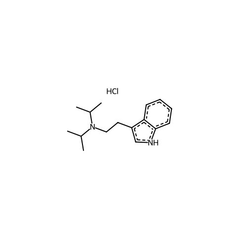 CC(C)N(CCc1c[nH]c2ccccc12)C(C)C.Cl